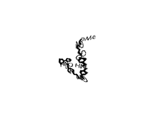 COCC(=O)N(C)CCCC(=O)Oc1ccc(CNCc2ccc(C(=O)N(C)CCN3CCC(OC(=O)Nc4ccccc4-c4ccccc4)CC3)cc2)cc1